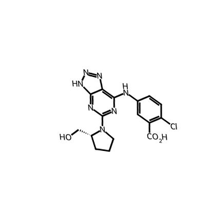 O=C(O)c1cc(Nc2nc(N3CCC[C@@H]3CO)nc3[nH]nnc23)ccc1Cl